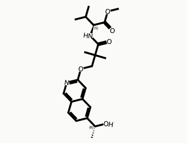 COC(=O)[C@@H](NC(=O)C(C)(C)COc1cc2cc([C@@H](C)O)ccc2cn1)C(C)C